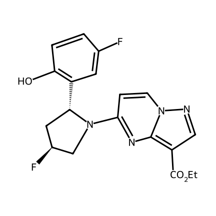 CCOC(=O)c1cnn2ccc(N3C[C@@H](F)C[C@@H]3c3cc(F)ccc3O)nc12